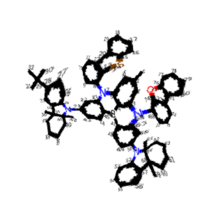 Cc1cc2c3c(c1)N(c1cccc4c1sc1ccccc14)c1cc(N4c5ccc(C(C)(C)C)cc5C5(C)CCCCC45C)ccc1B3c1ccc(N3c4ccccc4C4(C)CCCCC34C)cc1N2c1cccc2c1oc1ccccc12